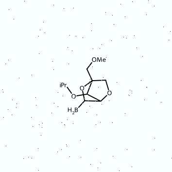 BC1OC2(COC)COC1C2OC(C)C